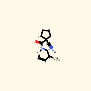 CC1C=CCN(C(=O)C2(C#N)CCCC2)C1